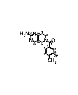 Cc1ccc(C(=O)N2CCc3nc(N)ncc3C2)cc1F